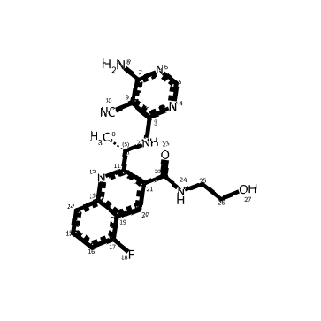 C[C@H](Nc1ncnc(N)c1C#N)c1nc2cccc(F)c2cc1C(=O)NCCO